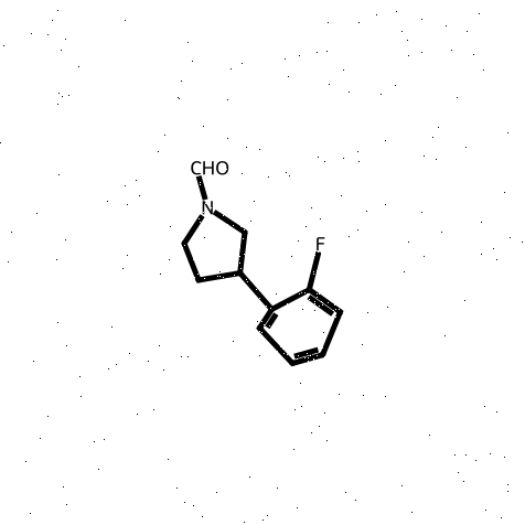 O=CN1CCC(c2ccccc2F)C1